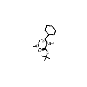 COC[C@@H](NC(=O)OC(C)(C)C)C1CCCCC1